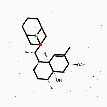 CC(=O)O[C@@H]1[C][C@@]2(O)[C@H](C)CC[C@@H]([C@H](C)CN3C4CCCC3COC4)[C@H]2C=C1C